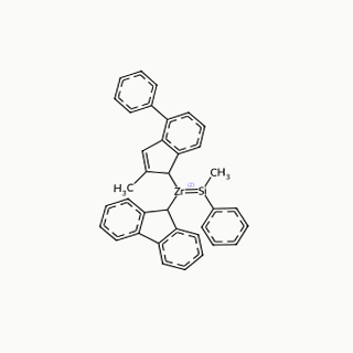 CC1=Cc2c(-c3ccccc3)cccc2[CH]1/[Zr]([CH]1c2ccccc2-c2ccccc21)=[Si](\C)c1ccccc1